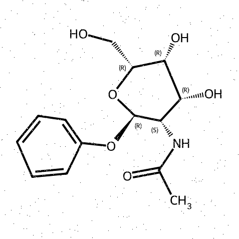 CC(=O)N[C@@H]1[C@@H](Oc2ccccc2)O[C@H](CO)[C@H](O)[C@@H]1O